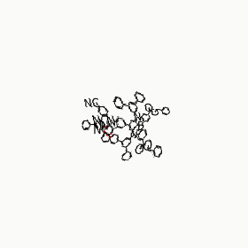 N#Cc1ccc(-n2c3ccccc3c3cc(-c4cc5c6c(c4)N(c4cc(-c7ccccc7)cc(-c7ccccc7)c4)c4cc(C(=O)OCc7ccccc7)ccc4B6c4ccc(C(=O)OCc6ccccc6)cc4N5c4cc(-c5ccccc5)cc(-c5ccccc5)c4)ccc32)c(-c2nc(-c3ccccc3)nc(-c3ccccc3)n2)c1